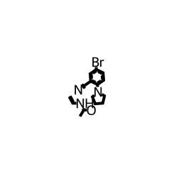 C=CNC(C)O[C@H]1CCN(c2ccc(Br)cc2C#N)C1